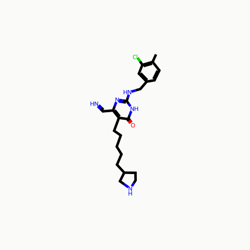 Cc1ccc(CNc2nc(C=N)c(CCCCCC3CCNC3)c(=O)[nH]2)cc1Cl